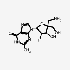 Cc1nc2c(ncn2[C@@H]2O[C@](CN)(CO)[C@@H](O)[C@H]2F)c(=O)[nH]1